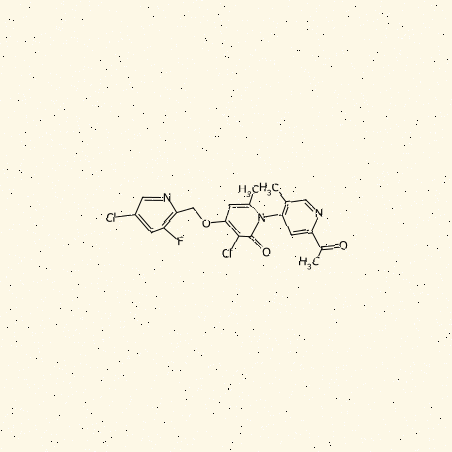 CC(=O)c1cc(-n2c(C)cc(OCc3ncc(Cl)cc3F)c(Cl)c2=O)c(C)cn1